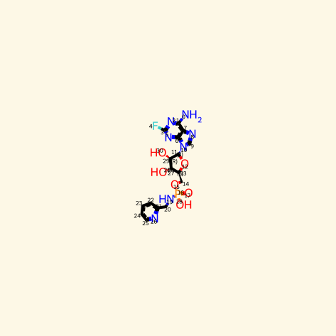 Nc1nc(F)nc2c1ncn2[C@@H]1O[C@@H](COP(=O)(O)NCc2ccccn2)[C@H](O)[C@H]1O